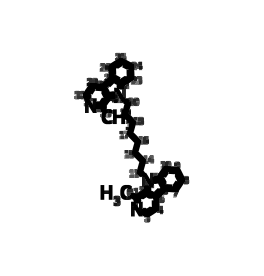 Cc1nccc2c3ccccc3n(CCCCCCCCn3c4ccccc4c4ccnc(C)c43)c12